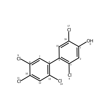 Oc1cc(Cl)c(-c2cc(Cl)c(Cl)cc2Cl)cc1Cl